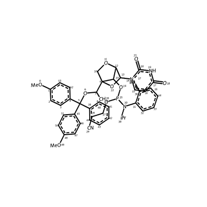 COc1ccc(C(OC(C)C23COC(C(n4ccc(=O)[nH]c4=O)O2)C3OP(OCCC#N)N(c2ccccc2C(C)C)C(C)C)(c2ccccc2)c2ccc(OC)cc2)cc1